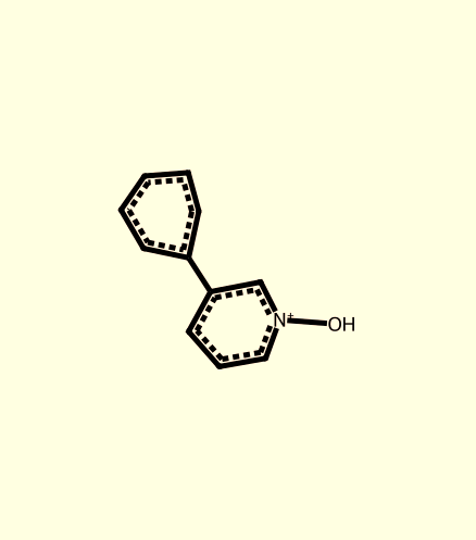 O[n+]1cccc(-c2ccccc2)c1